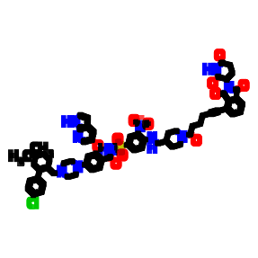 CC1(C)CCC(CN2CCN(c3ccc(C(=O)NS(=O)(=O)c4ccc(NCC5CCN(C(=O)CCCC#Cc6cccc7c6C(=O)N(C6CCC(=O)NC6=O)C7=O)CC5)c([N+](=O)[O-])c4)c(Oc4cnc5[nH]ccc5c4)c3)CC2)=C(c2ccc(Cl)cc2)C1